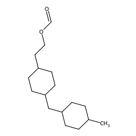 CC1CCC(CC2CCC(CCOC=O)CC2)CC1